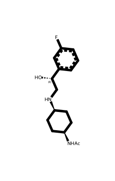 CC(=O)N[C@H]1CC[C@@H](NC[C@H](O)c2cccc(F)c2)CC1